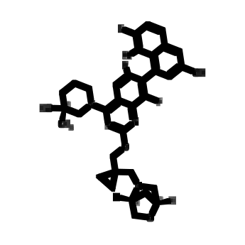 CCc1c(F)ccc2cc(O)cc(-c3c(F)cc4c(N5CCC[C@@](C)(O)C5)nc(OCC5(CN6C[C@H]7C[C@@H]6CO7)CC5)nc4c3F)c12